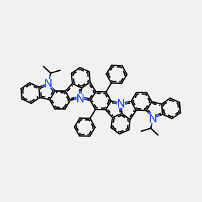 CC(C)n1c2ccccc2c2ccc3c(c4cccc5c6c(-c7ccccc7)c7c(c(-c8ccccc8)c6n3c54)c3cccc4c5c6c(ccc5n7c34)c3ccccc3n6C(C)C)c21